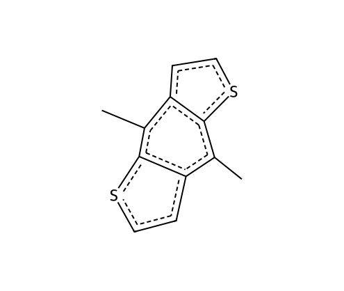 Cc1c2ccsc2c(C)c2ccsc12